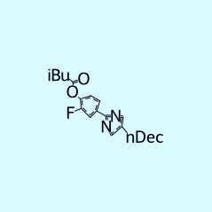 CCCCCCCCCCc1cnc(-c2ccc(OC(=O)C(C)CC)c(F)c2)nc1